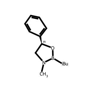 CCC(C)B1O[C@H](c2ccccc2)CN1C